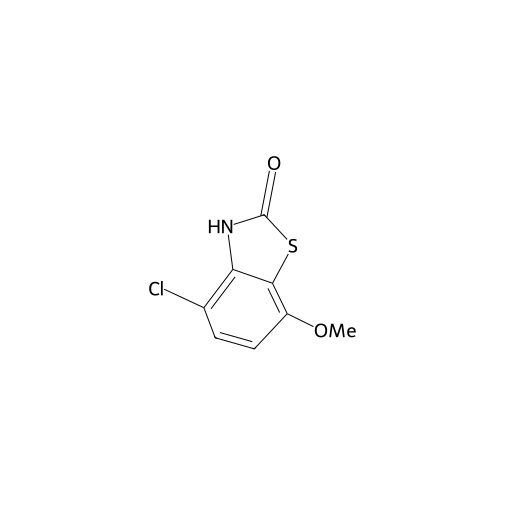 COc1ccc(Cl)c2[nH]c(=O)sc12